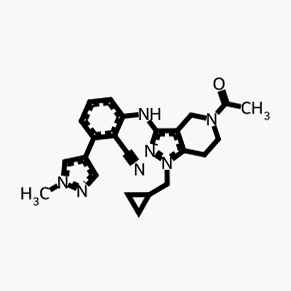 CC(=O)N1CCc2c(c(Nc3cccc(-c4cnn(C)c4)c3C#N)nn2CC2CC2)C1